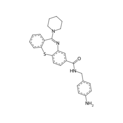 Nc1ccc(CNC(=O)c2ccc3c(c2)N=C(N2CCCCC2)c2ccccc2S3)cc1